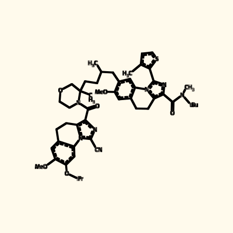 COc1cc2c(cc1CC(C)CCC1(C)COCCN1C(=O)c1nc(C#N)n3c1CCc1cc(OC)c(OC(C)C)cc1-3)-n1c(-c3sccc3C)nc(C(=O)N(C)C(C)(C)C)c1CC2